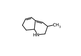 CC1C=C2C=CCCC2NC1